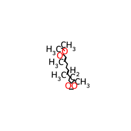 C=C(C)C1(CC/C(C)=C/CC/C(C)=C/C(=O)OC(C)C)OCCO1